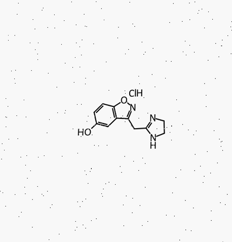 Cl.Oc1ccc2onc(CC3=NCCN3)c2c1